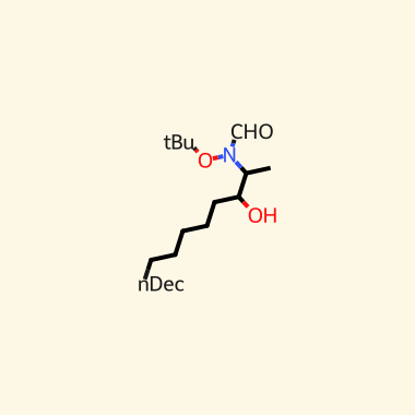 CCCCCCCCCCCCCCCC(O)C(C)N(C=O)OC(C)(C)C